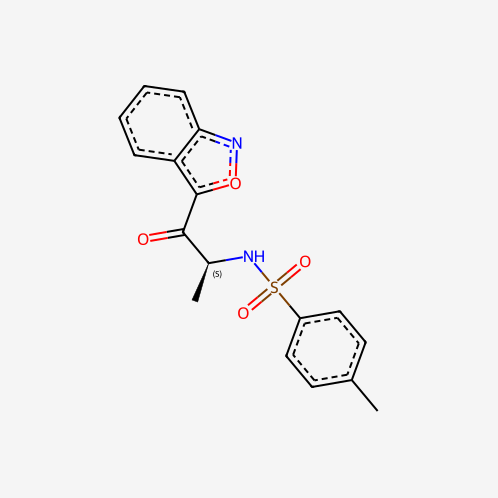 Cc1ccc(S(=O)(=O)N[C@@H](C)C(=O)c2onc3ccccc23)cc1